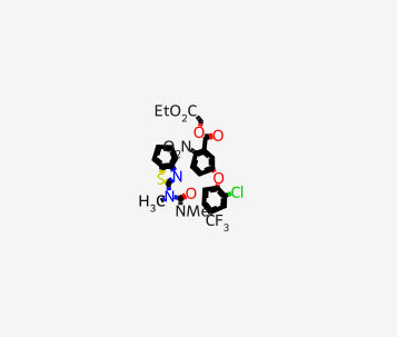 CCOC(=O)COC(=O)c1cc(Oc2ccc(C(F)(F)F)cc2Cl)ccc1[N+](=O)[O-].CNC(=O)N(C)c1nc2ccccc2s1